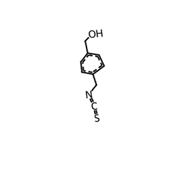 OCc1ccc(CN=C=S)cc1